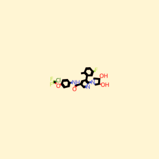 Cc1ccc(F)cc1-c1cc(C(=O)Nc2ccc(OC(F)(F)Cl)cc2)cnc1N1C[C@H](O)[C@@H](O)C1